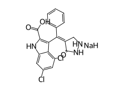 O=C1NNCC1=C(c1ccccc1)c1c(C(=O)O)[nH]c2cc(Cl)cc(Cl)c12.[NaH]